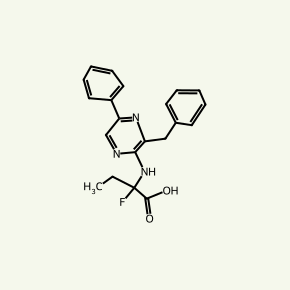 CCC(F)(Nc1ncc(-c2ccccc2)nc1Cc1ccccc1)C(=O)O